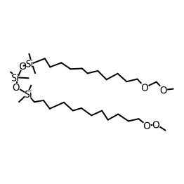 COCOCCCCCCCCCCC[Si](C)(C)O[Si](C)(C)O[Si](C)(C)CCCCCCCCCCCCOOC